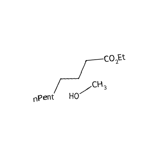 CCCCCCCCC(=O)OCC.CO